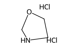 C1COCN1.Cl.Cl